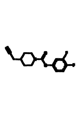 C#CCC1CCN(C(=O)Oc2ccc(F)c(F)c2)CC1